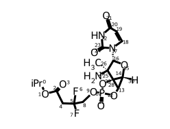 CC(C)OC(=O)CC(F)(F)CO[P@]1(=O)OC2[C@H]3O[C@@H](n4ccc(=O)[nH]c4=O)[C@](C)(N)[C@@]23O1